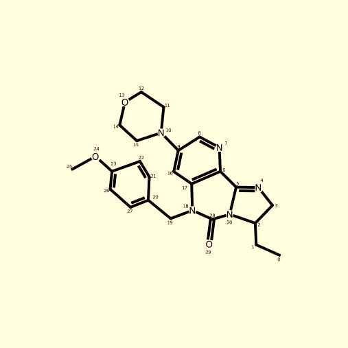 CCC1CN=C2c3ncc(N4CCOCC4)cc3N(Cc3ccc(OC)cc3)C(=O)N21